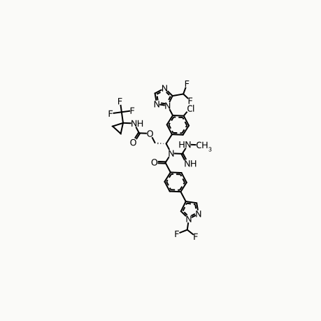 CNC(=N)N(C(=O)c1ccc(-c2cnn(C(F)F)c2)cc1)[C@H](COC(=O)NC1(C(F)(F)F)CC1)c1ccc(Cl)c(-n2ncnc2C(F)F)c1